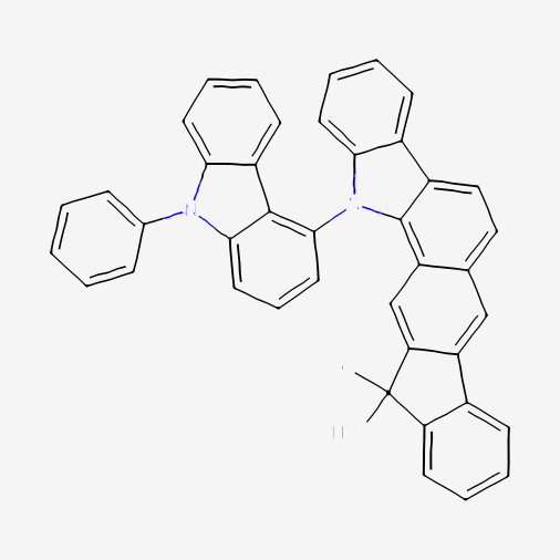 CC1(C)c2ccccc2-c2cc3ccc4c5ccccc5n(-c5cccc6c5c5ccccc5n6-c5ccccc5)c4c3cc21